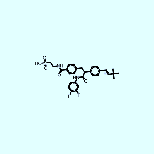 CC(C)(C)/C=C/c1ccc(C(Cc2ccc(C(=O)NCCS(=O)(=O)O)cc2)C(=O)Nc2ccc(F)c(F)c2)cc1